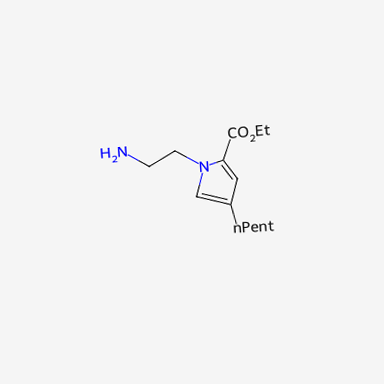 CCCCCc1cc(C(=O)OCC)n(CCN)c1